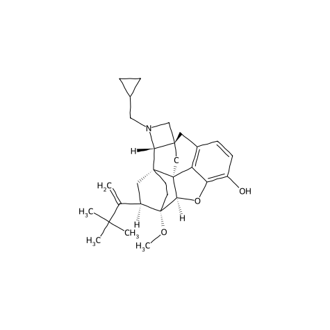 C=C([C@H]1C[C@@]23CC[C@@]1(OC)[C@@H]1Oc4c(O)ccc5c4[C@@]12C[C@@]1(C5)CN(CC2CC2)[C@H]13)C(C)(C)C